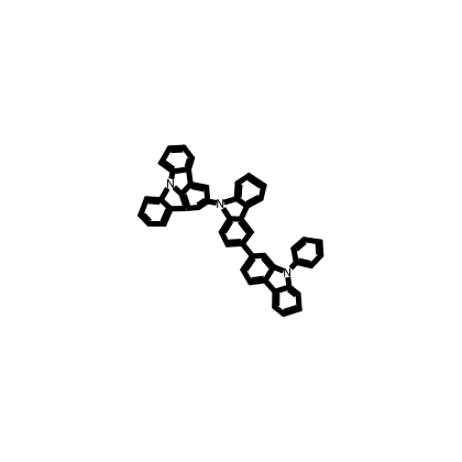 c1ccc(-n2c3ccccc3c3ccc(-c4ccc5c(c4)c4ccccc4n5-c4cc5c6ccccc6n6c7ccccc7c(c4)c56)cc32)cc1